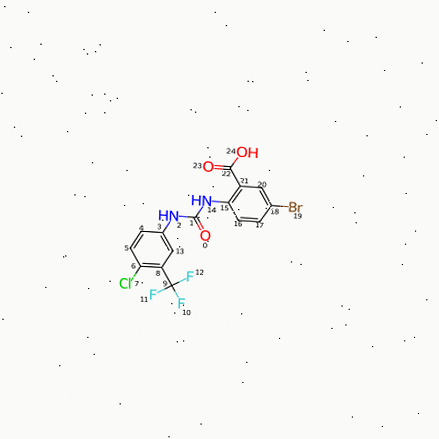 O=C(Nc1ccc(Cl)c(C(F)(F)F)c1)Nc1ccc(Br)cc1C(=O)O